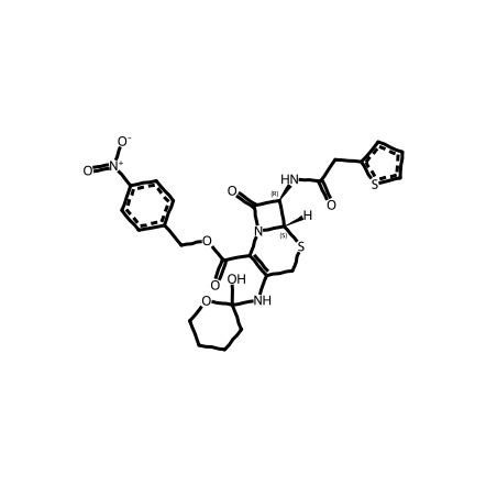 O=C(Cc1cccs1)N[C@@H]1C(=O)N2C(C(=O)OCc3ccc([N+](=O)[O-])cc3)=C(NC3(O)CCCCO3)CS[C@@H]12